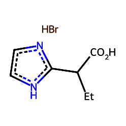 Br.CCC(C(=O)O)c1ncc[nH]1